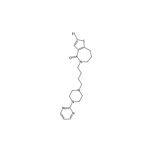 CCc1cc2c(s1)CCCN(CCCCN1CCN(c3ncccn3)CC1)C2=O